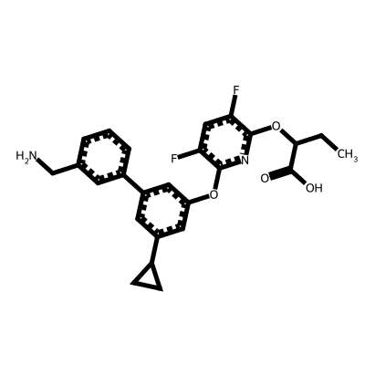 CCC(Oc1nc(Oc2cc(-c3cccc(CN)c3)cc(C3CC3)c2)c(F)cc1F)C(=O)O